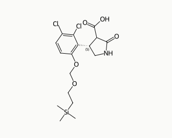 C[Si](C)(C)CCOCOc1ccc(Cl)c(Cl)c1[C@H]1CNC(=O)C1C(=O)O